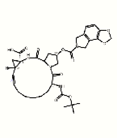 CC(C)(C)OC(=O)N[C@H]1CCCCC/C=C\[C@@H]2C[C@@]2(C(=O)O)NC(=O)C2C[C@@H](OC(=O)N3Cc4ccc5c(c4C3)OCO5)CN2C1=O